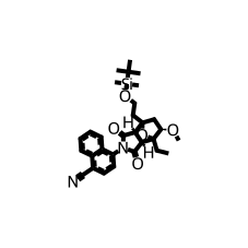 CCC12OC(CCO[Si](C)(C)C(C)(C)C)(C[C@@H]1OC)[C@H]1C(=O)N(c3ccc(C#N)c4ccccc34)C(=O)[C@H]12